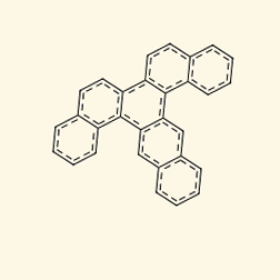 c1ccc2cc3c(cc2c1)c1c2ccccc2ccc1c1ccc2ccccc2c13